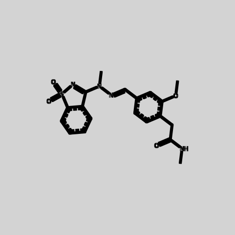 CNC(=O)Cc1ccc(/C=N/N(C)C2=NS(=O)(=O)c3ccccc32)cc1OC